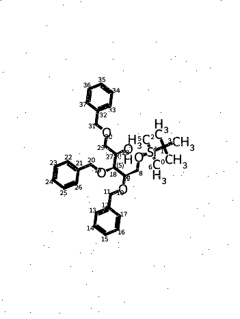 CC(C)(C)[Si](C)(C)OC[C@@H](OCc1ccccc1)[C@@H](OCc1ccccc1)[C@H](O)COCc1ccccc1